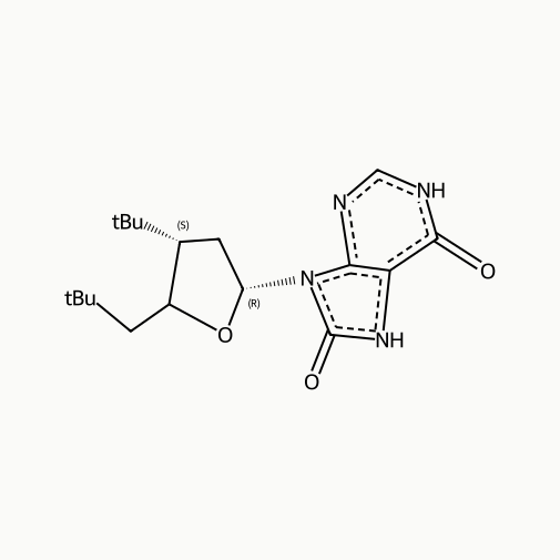 CC(C)(C)CC1O[C@@H](n2c(=O)[nH]c3c(=O)[nH]cnc32)C[C@H]1C(C)(C)C